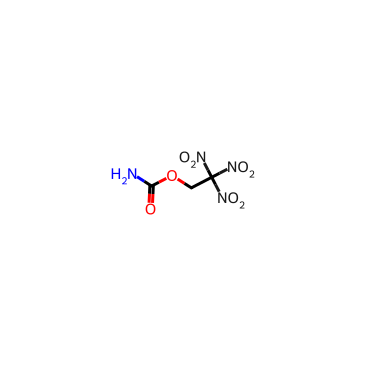 NC(=O)OCC([N+](=O)[O-])([N+](=O)[O-])[N+](=O)[O-]